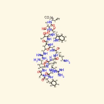 CC(C)C[C@H](NC(=O)[C@@H](NC(=O)[C@H](Cc1c[nH]c2ccccc12)NC(=O)[C@@H](NC(=O)[C@H](CCCNC(=N)N)NC(=O)CNC(=O)[C@H](CCCCN)NC(=O)[C@@H](NC(=O)[C@H](CCCNC(=N)N)NC(=O)[C@H](CCCCN)NC(=O)[C@H](C)NC(=O)[C@H](Cc1ccccc1)NC(=O)CN)C(C)C)[C@@H](C)O)[C@@H](C)O)C(=O)O